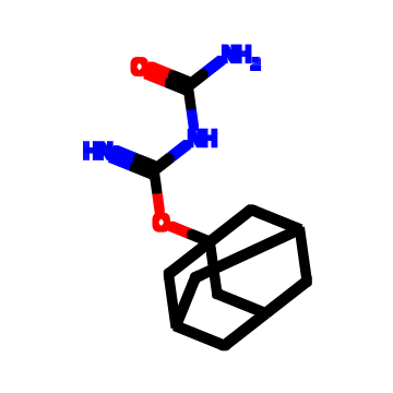 N=C(NC(N)=O)OC12CC3CC(CC(C3)C1)C2